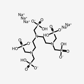 O=P([O-])(O)CN(CCN(CP(=O)([O-])O)CP(=O)([O-])O)CCN(CP(=O)([O-])O)CP(=O)([O-])O.[Na+].[Na+].[Na+].[Na+].[Na+]